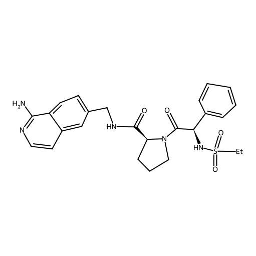 CCS(=O)(=O)N[C@@H](C(=O)N1CCC[C@H]1C(=O)NCc1ccc2c(N)nccc2c1)c1ccccc1